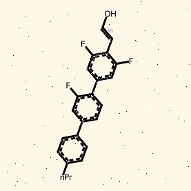 CCCc1ccc(-c2ccc(-c3cc(F)c(/C=C/O)c(F)c3)c(F)c2)cc1